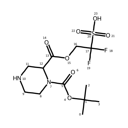 CC(C)(C)OC(=O)N1CCNCC1C(=O)OCC(F)(F)S(=O)(=O)O